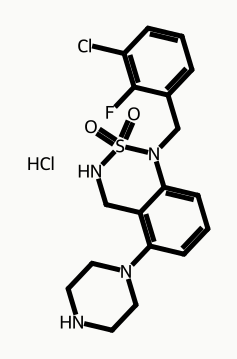 Cl.O=S1(=O)NCc2c(N3CCNCC3)cccc2N1Cc1cccc(Cl)c1F